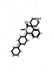 CN1C(=O)C2(CCNCC2)c2ccccc2C1C1CCC(C2CCCCC2)CC1